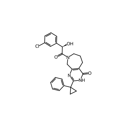 O=C([C@H](O)c1cccc(Cl)c1)N1CCCc2c(nc(C3(c4ccccc4)CC3)[nH]c2=O)C1